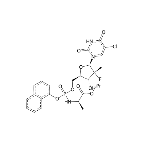 CC(C)OC(=O)[C@@H](C)NP(=O)(OC[C@H]1O[C@@H](n2cc(Cl)c(=O)[nH]c2=O)[C@](C)(F)[C@@H]1O)Oc1cccc2ccccc12